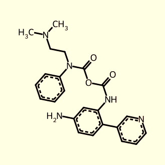 CN(C)CCN(C(=O)OC(=O)Nc1cc(N)ccc1-c1cccnc1)c1ccccc1